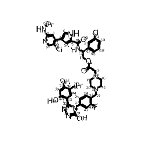 CC(C)Nc1cc(-c2c[nH]c(C(=O)NC(COC(=O)CN3CCN(Cc4ccc(-n5c(O)nnc5-c5cc(C(C)C)c(O)cc5O)cc4F)CC3)c3cccc(Cl)c3)c2)c(Cl)cn1